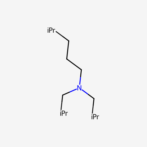 CC(C)CCCN(CC(C)C)CC(C)C